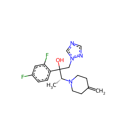 C=C1CCN([C@H](C)C(O)(Cn2cncn2)c2ccc(F)cc2F)CC1